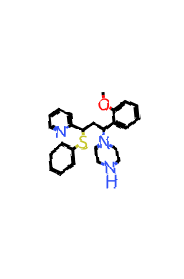 COc1ccccc1C(CC(SC1CCCCC1)c1ccccn1)N1CCNCC1